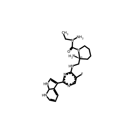 CCN(N)C(=O)N1CCCC[C@]1(N)CNc1nc(C2=CNC3NC=CC=C23)ncc1F